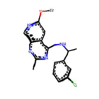 CCOc1cc2c(NC(C)c3cccc(Cl)c3)nc(C)nc2cn1